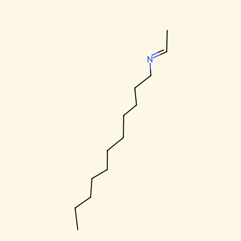 C/C=N/CCCCCCCCCCC